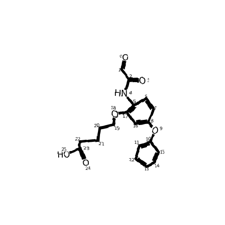 O=CC(=O)Nc1ccc(Oc2ccccc2)cc1OCCCCC(=O)O